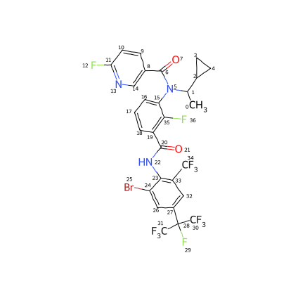 CC(C1CC1)N(C(=O)c1ccc(F)nc1)c1cccc(C(=O)Nc2c(Br)cc(C(F)(C(F)(F)F)C(F)(F)F)cc2C(F)(F)F)c1F